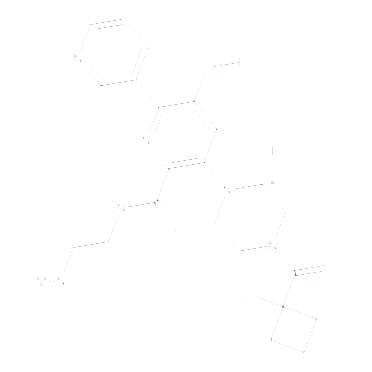 CCOc1cc(N2CCN(C(=O)C3(CC)CCC3)C[C@H]2CC)c(C(=O)NCCNC)nc1-c1cccnc1